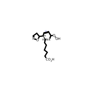 CCCCCCC(/C=C\[C@@H](CCCCCCC(=O)O)C1CC=NO1)OO